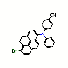 N#CC1=CC=C(N(c2ccccc2)c2ccc3c4c2ccc2ccc(Br)c(c24)CC3)CC1